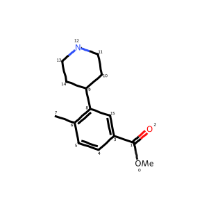 COC(=O)c1ccc(C)c(C2CC[N]CC2)c1